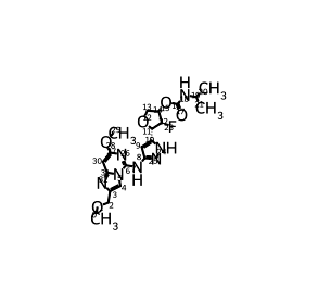 COCc1cn2c(Nc3cc([C@@H]4OC[C@H](OC(=O)NC(C)C)[C@H]4F)[nH]n3)nc(OC)cc2n1